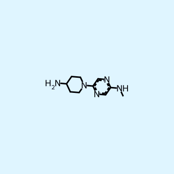 CNc1cnc(N2CCC(N)CC2)cn1